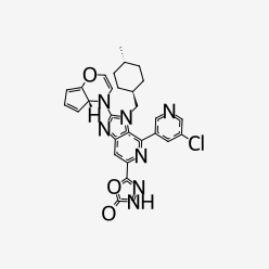 C[C@H]1CC[C@H](Cn2c(N3C=COC4=CC=C[C@H]43)nc3cc(-c4n[nH]c(=O)o4)nc(-c4cncc(Cl)c4)c32)CC1